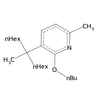 CCCCCCC(C)(CCCCCC)c1ccc(C)nc1OCCCC